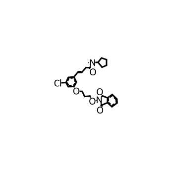 O=C(CC=Cc1cc(Cl)cc(OCCCON2C(=O)c3ccccc3C2=O)c1)[N]C1CCCC1